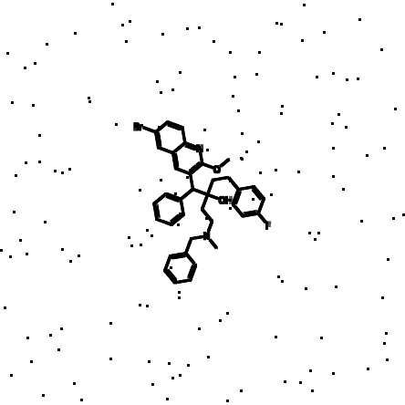 COc1nc2ccc(Br)cc2cc1C(c1ccccc1)C(O)(CCc1ccc(F)cc1)CCN(C)Cc1ccccc1